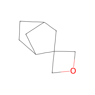 C1CC2CC1CC21COC1